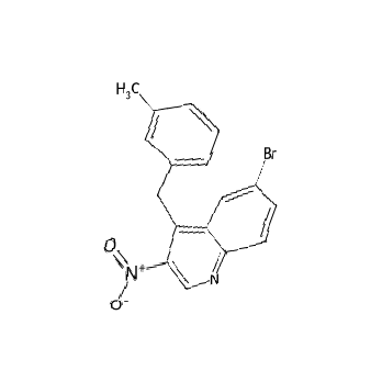 Cc1cccc(Cc2c([N+](=O)[O-])cnc3ccc(Br)cc23)c1